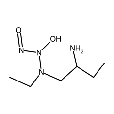 CCC(N)CN(CC)N(O)N=O